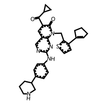 O=C(c1cc2cnc(Nc3ccc(C4CCCNC4)cc3)nc2n(Cc2sccc2C2=CCCC2)c1=O)C1CC1